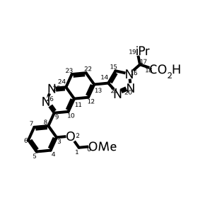 COCOc1ccccc1-c1cc2cc(-c3cn(C(C(=O)O)C(C)C)nn3)ccc2nn1